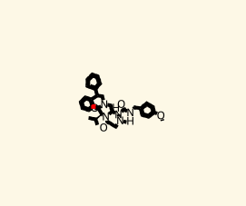 COc1ccc(CNC(=O)N2[C@H]3CN(CC(c4ccccc4)c4ccccc4)C(=O)[C@H](C(C)C)N3C(=O)CN2C)cc1